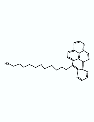 SCCCCCCCCCCCc1c2ccccc2c2ccc3cccc4ccc1c2c43